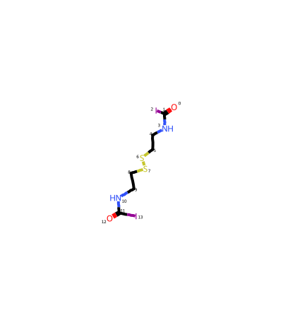 O=C(I)NCCSSCCNC(=O)I